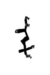 CC(C)NC(=O)/C=C/C(C)(N)C(C)C